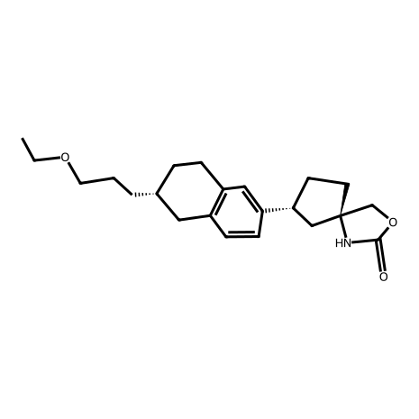 CCOCCC[C@@H]1CCc2cc([C@@H]3CC[C@]4(COC(=O)N4)C3)ccc2C1